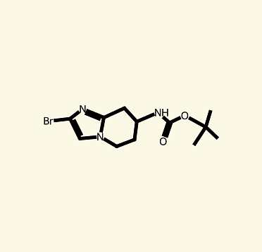 CC(C)(C)OC(=O)NC1CCn2cc(Br)nc2C1